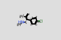 C=C(C(C)C)[C@@H](CNC(C)C)c1ccc(Cl)cc1